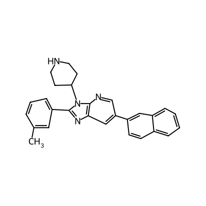 Cc1cccc(-c2nc3cc(-c4ccc5ccccc5c4)cnc3n2C2CCNCC2)c1